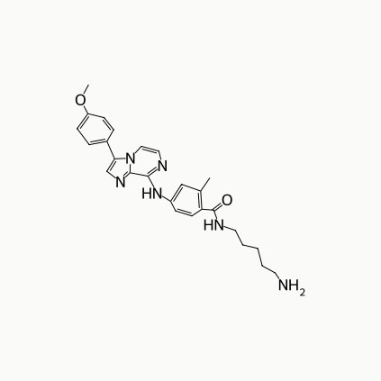 COc1ccc(-c2cnc3c(Nc4ccc(C(=O)NCCCCCN)c(C)c4)nccn23)cc1